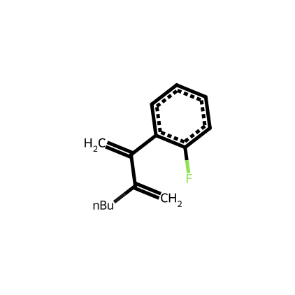 C=C(CCCC)C(=C)c1ccccc1F